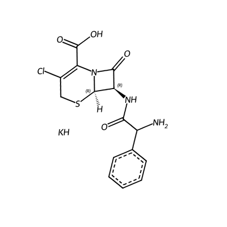 NC(C(=O)N[C@@H]1C(=O)N2C(C(=O)O)=C(Cl)CS[C@H]12)c1ccccc1.[KH]